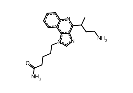 CC(CCN)c1nc2ccccc2c2c1ncn2CCCCC(N)=O